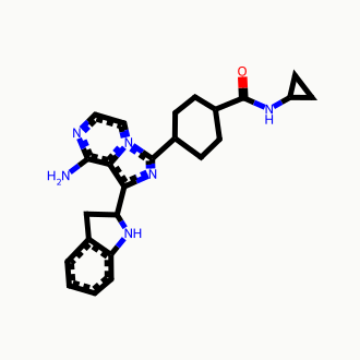 Nc1nccn2c(C3CCC(C(=O)NC4CC4)CC3)nc(C3Cc4ccccc4N3)c12